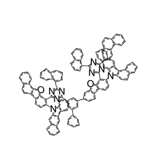 c1ccc(-c2cc(-c3ccc4c(c3)oc3c(-c5nc(-c6ccc7c(ccc8ccccc87)c6)nc(-c6cccc7ccccc67)n5)c(-n5c6cc7ccccc7cc6c6c7ccccc7ccc65)ccc34)cc(-c3nc(-c4cccc5ccccc45)nc(-c4c(-n5c6ccccc6c6cc7ccccc7cc65)ccc5c4oc4c6ccccc6ccc54)n3)c2)cc1